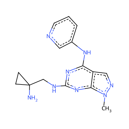 Cn1ncc2c(Nc3cccnc3)nc(NCC3(N)CC3)nc21